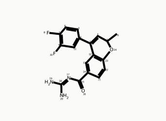 CC1C=C(c2ccc(F)c(F)c2)c2cc(C(=O)N=C(N)N)ccc2O1